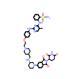 Cc1cnc(Nc2ccc(OCCN3CCC(CN[C@@H]4CCCN(c5ccc6c(c5)C(=O)N(C5CCC(=O)NC5=O)C6=O)C4)CC3)cc2)nc1Nc1ccccc1S(N)(=O)=O